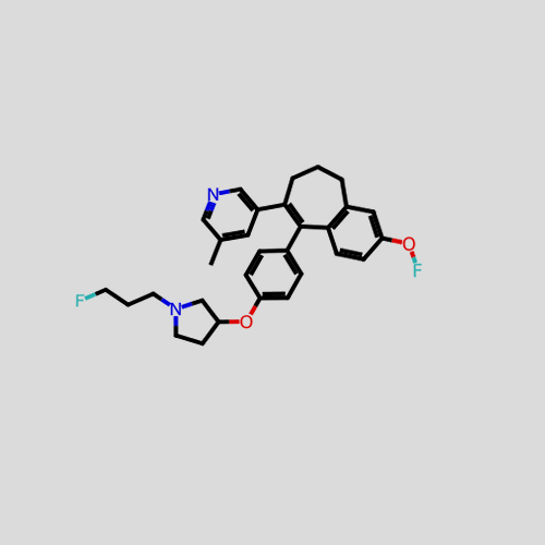 Cc1cncc(C2=C(c3ccc(OC4CCN(CCCF)C4)cc3)c3ccc(OF)cc3CCC2)c1